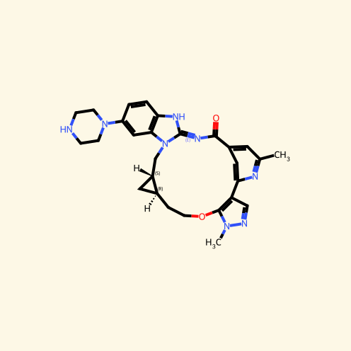 Cc1cc2cc(n1)-c1cnn(C)c1OCC[C@H]1C[C@@H]1CN1/C(=N/C2=O)Nc2ccc(N3CCNCC3)cc21